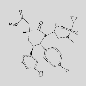 CCC(CN(C)S(=O)(=O)C1CC1)N1C(=O)[C@@](C)(CC(=O)OC)C[C@H](c2cccc(Cl)c2)[C@H]1c1ccc(Cl)cc1